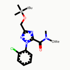 CON(C)C(=O)c1nc(CO[Si](C)(C)C(C)(C)C)nn1-c1ccccc1Cl